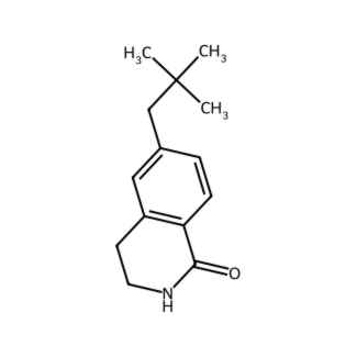 CC(C)(C)Cc1ccc2c(c1)CCNC2=O